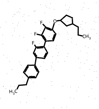 CCCc1ccc(-c2ccc(-c3ccc(OC4CCC(CCC)C4)c(F)c3F)c(F)c2)cc1